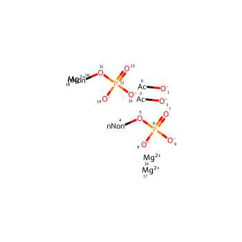 CC(=O)[O-].CC(=O)[O-].CCCCCCCCCOP(=O)([O-])[O-].CCCCCCCCCOP(=O)([O-])[O-].[Mg+2].[Mg+2].[Mg+2]